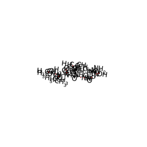 [CH2][CH]CSC[C@H](NC(=O)OC(C)(C)C)C(=O)N[C@@H](CCCCNC(=O)CNC(=O)c1ccc(Cn2c(O)nc3c(N)nc(NCCCC)nc32)cc1)C(=O)NCCCN(CCCCN(CCCNC(=O)OC(C)(C)C)C(=O)OC(C)(C)C)C(=O)OC(C)(C)C